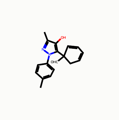 Cc1ccc(-n2nc(C)c(O)c2C2(C=O)C=CC=CC2)cc1